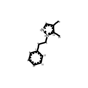 Cc1cnn(CCc2ccccc2)c1C